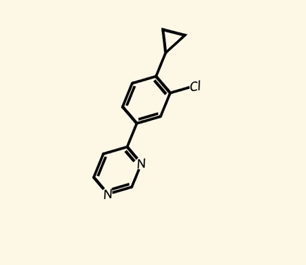 Clc1cc(-c2ccncn2)ccc1C1CC1